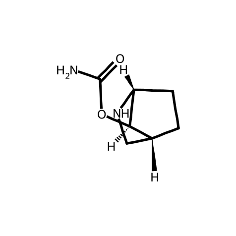 NC(=O)O[C@@H]1[C@@H]2CC[C@H]1NC2